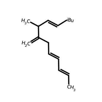 C=C(CC=CC=CC)[C](C)C=CC(C)CC